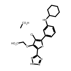 CC(=O)O.O=C(O)COc1c(-c2nn[nH]n2)sc(-c2cccc(NC3CCCCC3)c2)c1Cl